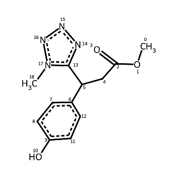 COC(=O)CC(c1ccc(O)cc1)c1nnnn1C